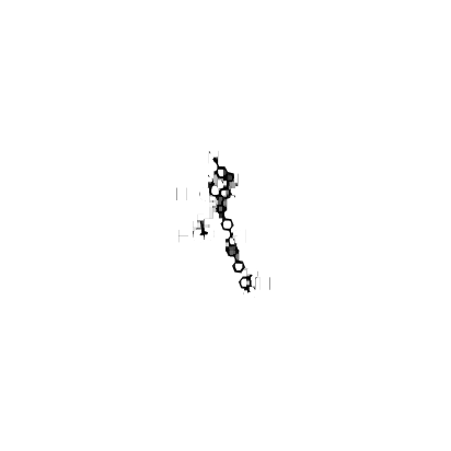 C[C@H](C#N)Nc1cc(-n2ncc3cc(C#N)cnc32)ncc1-n1cc(C2CCC([C@@H](Cl)CN3CCN(c4ccc([C@H]5CCC(=O)NC5=O)cc4)CC3)CC2)nn1.O=C(O)C(F)(F)F